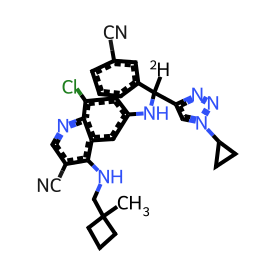 [2H]C(Nc1cc(Cl)c2ncc(C#N)c(NCC3(C)CCC3)c2c1)(c1cccc(C#N)c1)c1cn(C2CC2)nn1